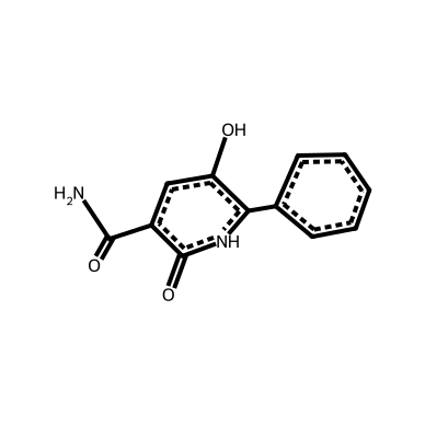 NC(=O)c1cc(O)c(-c2ccccc2)[nH]c1=O